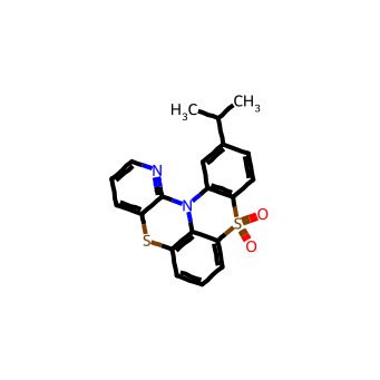 CC(C)c1ccc2c(c1)N1c3ncccc3Sc3cccc(c31)S2(=O)=O